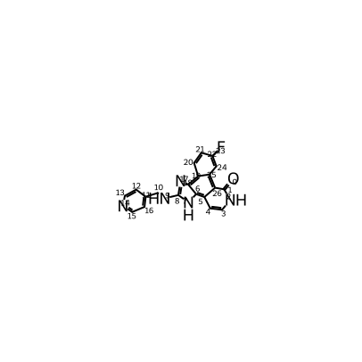 O=c1[nH]ccc2c3[nH]c(NCc4ccncc4)nc3c3ccc(F)cc3c12